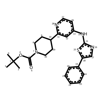 CC(C)(C)OC(=O)N1CCC(c2cc(Nc3ncc(-c4ccccc4)s3)ccn2)CC1